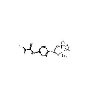 C=C(F)C(=O)Nc1ccc(B2OC(C)(C)C(C)(C)O2)cc1